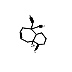 CC12CC=CCC(C#N)(C#N)C1CCCC2=O